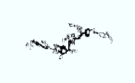 C=CCCCNCC(=O)Nc1c(Cl)cc(C(C(=NC(=O)CC(=NOCC)c2ccc(OCC=C)cc2)NC(=O)O)C(C)(C)C)cc1Cl